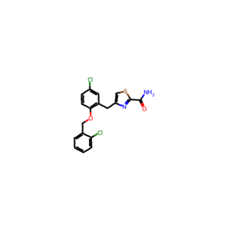 NC(=O)c1nc(Cc2cc(Cl)ccc2OCc2ccccc2Cl)cs1